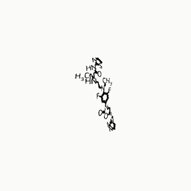 CCN(CCNN(C)C(=O)Nc1nccs1)c1c(F)cc(N2C[C@H](Cn3ccnn3)OC2=O)cc1F